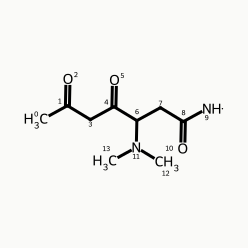 CC(=O)CC(=O)C(CC([NH])=O)N(C)C